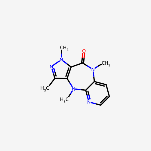 Cc1nn(C)c2c1N(C)c1ncccc1N(C)C2=O